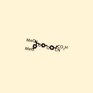 CO/N=C(/COc1ccc(COc2ccc(C(C#N)CC(=O)O)cc2)cc1)c1ccc(OC)cc1